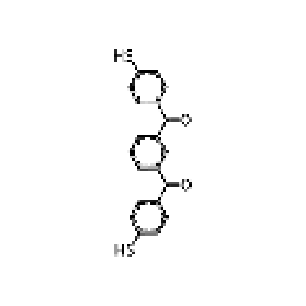 O=C(c1ccc(S)cc1)c1cccc(C(=O)c2ccc(S)cc2)c1